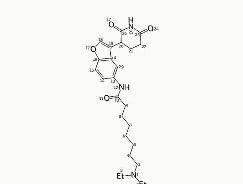 CCN(CC)CCCCCCCC(=O)Nc1ccc2occ(C3CCC(=O)NC3=O)c2c1